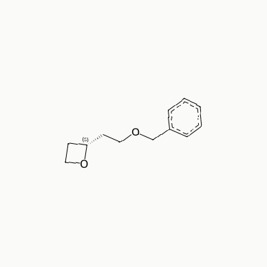 c1ccc(COCC[C@H]2CCO2)cc1